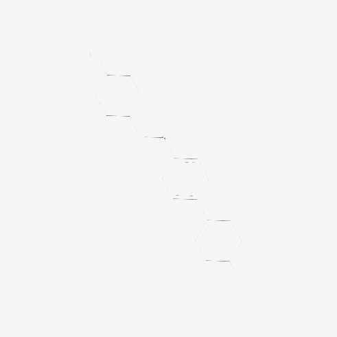 CCC1CC=C(c2ccc(C(=O)OC3CCC(CC)CC3)cc2)CC1